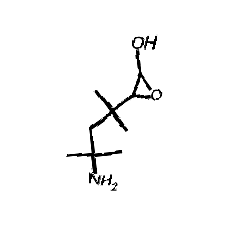 CC(C)(N)CC(C)(C)C1OC1O